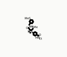 CCNC(=O)c1ccc(-n2nnc(C(=O)NCc3cccc(SC)c3)c2CSC)cc1